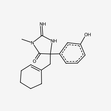 CN1C(=N)NC(CC2=CCCCC2)(c2cccc(O)c2)C1=O